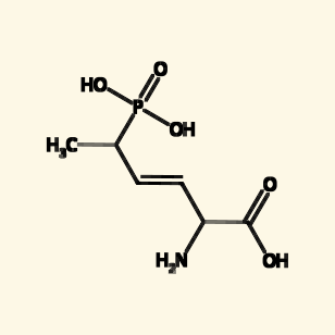 CC(C=CC(N)C(=O)O)P(=O)(O)O